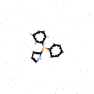 C1=C[N]C(P(c2ccccc2)c2ccccc2)=C1